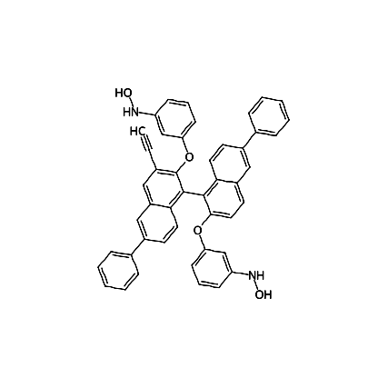 C#Cc1cc2cc(-c3ccccc3)ccc2c(-c2c(Oc3cccc(NO)c3)ccc3cc(-c4ccccc4)ccc23)c1Oc1cccc(NO)c1